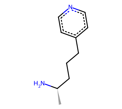 C[C@H](N)CCCc1ccncc1